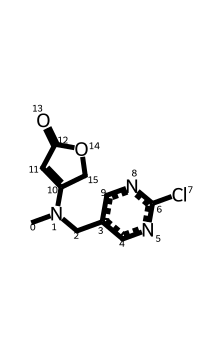 CN(Cc1cnc(Cl)nc1)C1=CC(=O)OC1